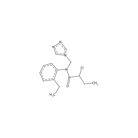 CCc1ccccc1N(Cn1cnnc1)C(=O)C(Cl)CC